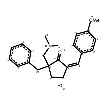 COc1ccc(C=C2CCC(Cc3ccccc3)(CN(C)C)C2=O)cc1.Cl